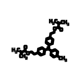 C=C(C)C(=O)OCCc1ccc(N(c2ccc(C)cc2)c2ccc(CCOC(=O)C(=C)C)cc2)cc1